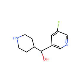 OC(c1cncc(F)c1)C1CCNCC1